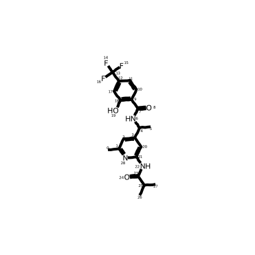 Cc1cc(C(C)NC(=O)c2ccc(C(F)(F)F)cc2O)cc(NC(=O)C(C)C)n1